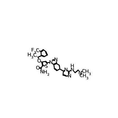 C[C@@H](Oc1cc(-n2cnc3c2C=CC(c2ccnc(NCCN(C)C)n2)C3)sc1C(N)=O)c1ccccc1C(F)(F)F